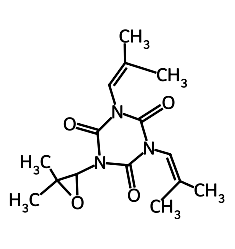 CC(C)=Cn1c(=O)n(C=C(C)C)c(=O)n(C2OC2(C)C)c1=O